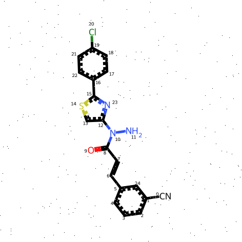 N#Cc1cccc(C=CC(=O)N(N)c2csc(-c3ccc(Cl)cc3)n2)c1